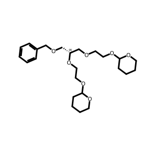 c1ccc(COC[C@H](COCCOC2CCCCO2)OCCOC2CCCCO2)cc1